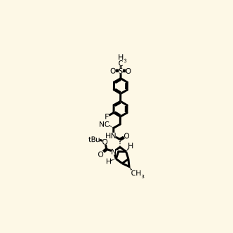 C[C@H]1C2C1[C@@H]1C[C@H]2[C@@H](C(=O)N[C@H](C#N)Cc2ccc(-c3ccc(S(C)(=O)=O)cc3)cc2F)N1C(=O)OC(C)(C)C